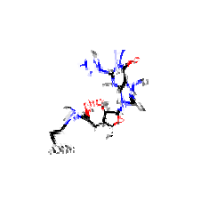 COCCN(C)C(=O)C[C@@H]1[C@@H](C)OC(n2c[n+](C)c3c(=O)[nH]c(N)nc32)[C@@H]1O